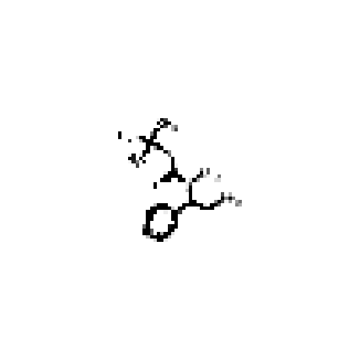 CN(C(=O)OC(C)(C)C)C(CN)c1ccccc1